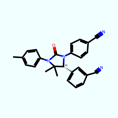 Cc1ccc(N2C(=O)N(c3ccc(C#N)cc3)[C@H](c3cccc(C#N)c3)C2(C)C)cc1